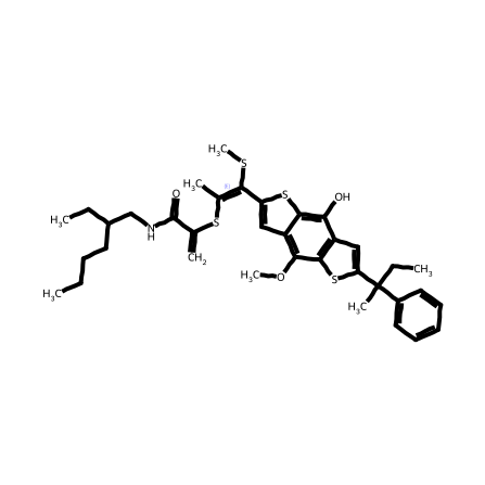 C=C(S/C(C)=C(/SC)c1cc2c(OC)c3sc(C(C)(CC)c4ccccc4)cc3c(O)c2s1)C(=O)NCC(CC)CCCC